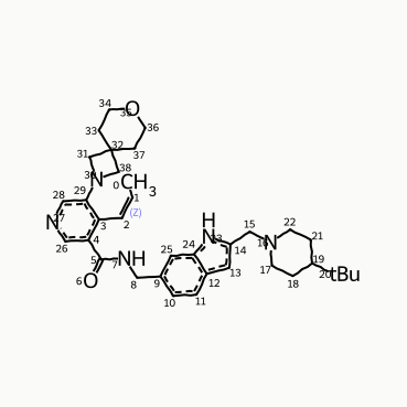 C/C=C\c1c(C(=O)NCc2ccc3cc(CN4CCC(C(C)(C)C)CC4)[nH]c3c2)cncc1N1CC2(CCOCC2)C1